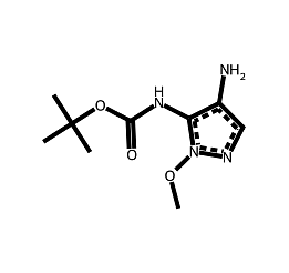 COn1ncc(N)c1NC(=O)OC(C)(C)C